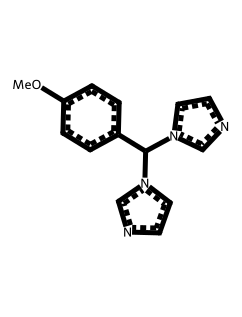 COc1ccc(C(n2ccnc2)n2ccnc2)cc1